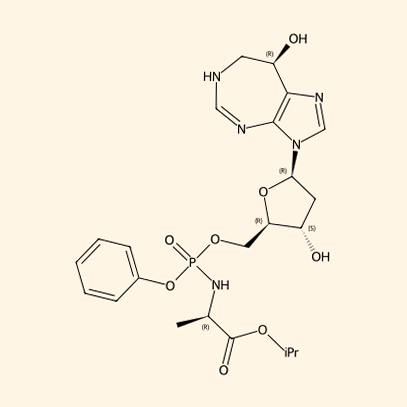 CC(C)OC(=O)[C@@H](C)NP(=O)(OC[C@H]1O[C@@H](n2cnc3c2N=CNC[C@H]3O)C[C@@H]1O)Oc1ccccc1